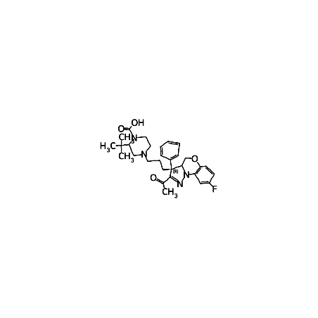 CC(=O)C1=NN2c3cc(F)ccc3OCC2[C@@]1(CCCN1CCN(C(=O)O)C(C(C)(C)C)C1)c1ccccc1